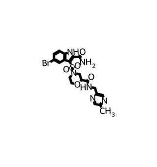 Cc1cnc(CNC(=O)C2CN(S(=O)(=O)c3c(C(N)=O)[nH]c4ccc(Br)cc34)CCO2)cn1